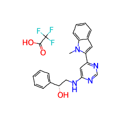 Cn1c(-c2cc(NC[C@H](O)c3ccccc3)ncn2)cc2ccccc21.O=C(O)C(F)(F)F